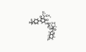 CC(C)n1c(=O)c(CNC(=O)[C@@H]2CCCN2S(=O)(=O)c2cc3cc(F)ccc3o2)cn(-c2ccc(C(F)(F)F)nc2)c1=O